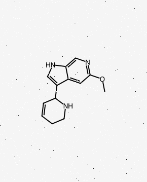 COc1cc2c(C3C=CCCN3)c[nH]c2cn1